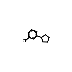 Clc1cc[c]c(C2CCCC2)c1